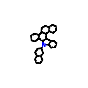 c1ccc2cc(-n3c4ccccc4c4c5c6ccccc6ccc5c5ccccc5c43)ccc2c1